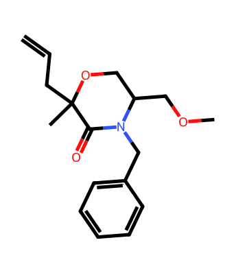 C=CCC1(C)OCC(COC)N(Cc2ccccc2)C1=O